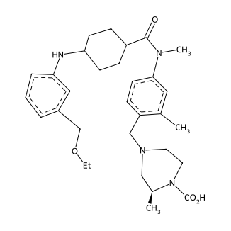 CCOCc1cccc(NC2CCC(C(=O)N(C)c3ccc(CN4CCN(C(=O)O)[C@@H](C)C4)c(C)c3)CC2)c1